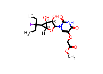 CCC(I)(CC)C1[C@H]2OC(n3cc(OCC(=O)OC)c(=O)[nH]c3=O)[C@H](O)[C@@]12O